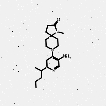 CCCC(C)C1CC(N2CCC3(CCC(=O)N3C)CC2)=C(N)C=N1